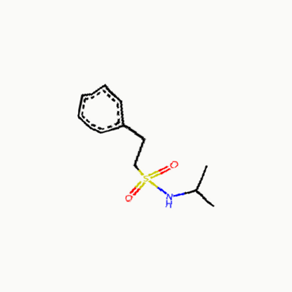 CC(C)NS(=O)(=O)CCc1ccccc1